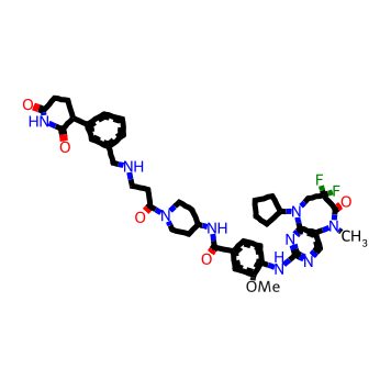 COc1cc(C(=O)NC2CCN(C(=O)CCNCc3cccc(C4CCC(=O)NC4=O)c3)CC2)ccc1Nc1ncc2c(n1)N(C1CCCC1)CC(F)(F)C(=O)N2C